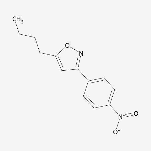 CCCCc1cc(-c2ccc([N+](=O)[O-])cc2)no1